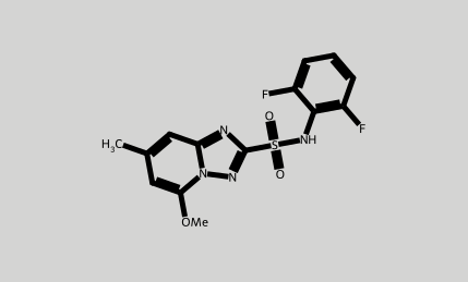 COc1cc(C)cc2nc(S(=O)(=O)Nc3c(F)cccc3F)nn12